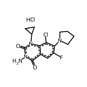 Cl.Nn1c(=O)c2cc(F)c(N3CCCC3)c(Cl)c2n(C2CC2)c1=O